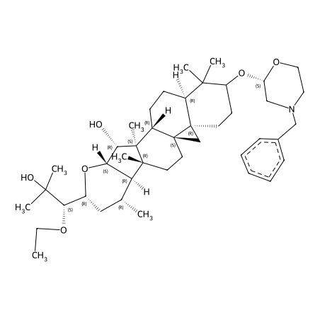 CCO[C@@H]([C@H]1C[C@@H](C)[C@H]2[C@H](O1)[C@H](O)[C@@]1(C)[C@@H]3CC[C@H]4C(C)(C)C(O[C@H]5CN(Cc6ccccc6)CCO5)CC[C@@]45C[C@@]35CC[C@]21C)C(C)(C)O